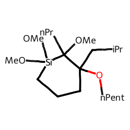 CCCCCOC1(CC(C)C)CCC[Si](OC)(OC)C1(CCC)OC